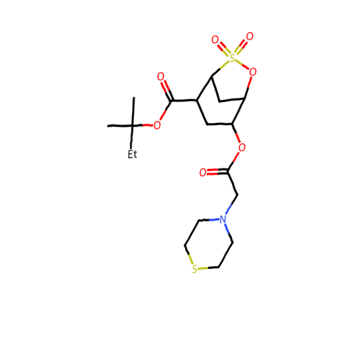 CCC(C)(C)OC(=O)C1CC(OC(=O)CN2CCSCC2)C2CC1S(=O)(=O)O2